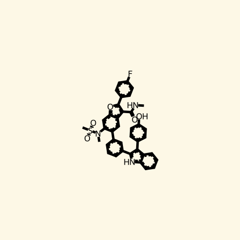 CNC(=O)c1c(-c2ccc(F)cc2)oc2cc(N(C)S(C)(=O)=O)c(-c3cccc(-c4[nH]c5ccccc5c4-c4ccc(O)cc4)c3)cc12